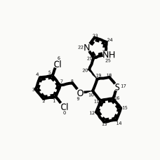 Clc1cccc(Cl)c1CO[C@@H]1c2ccccc2SC[C@@H]1Cc1ncc[nH]1